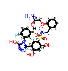 CN(Cc1ccccc1OCC(N)=O)S(=O)(=O)c1cc(-c2nnc(O)n2-c2ccccc2F)c(O)cc1O